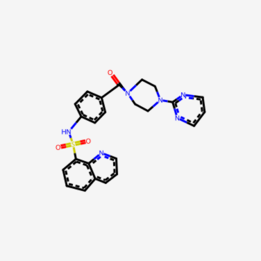 O=C(c1ccc(NS(=O)(=O)c2cccc3cccnc23)cc1)N1CCN(c2ncccn2)CC1